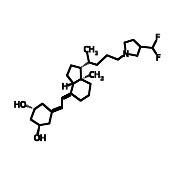 CC(CCCN1CCC(C(F)F)C1)[C@H]1CC[C@H]2C(=CC=C3C[C@@H](O)C[C@H](O)C3)CCC[C@]12C